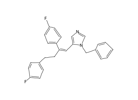 Fc1ccc(CCC(=Cc2cncn2Cc2ccccc2)c2ccc(F)cc2)cc1